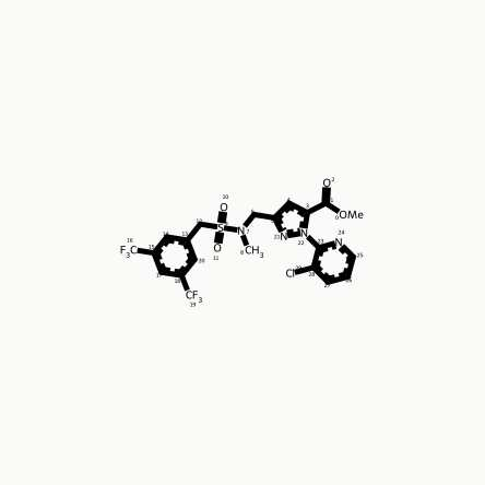 COC(=O)c1cc(CN(C)S(=O)(=O)Cc2cc(C(F)(F)F)cc(C(F)(F)F)c2)nn1-c1ncccc1Cl